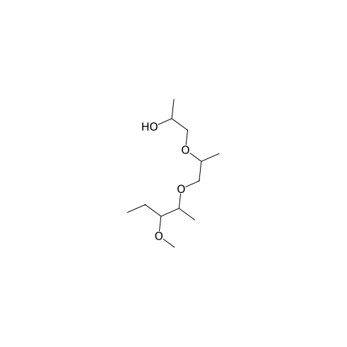 CCC(OC)C(C)OCC(C)OCC(C)O